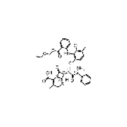 CC1=C(C(=O)O)N2C(=O)[C@@H](NC(=O)[C@H](N)c3ccccc3)[C@H]2SC1.CCOCOC(=O)c1ccccc1Nc1c(Cl)ccc(C)c1Cl